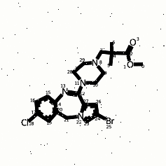 COC(=O)C(C)(C)CN1CCN(C2=Nc3ccc(Cl)cc3Cn3cc(Br)cc32)CC1